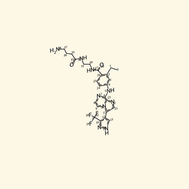 CCc1cc(Nc2nccn3c(-c4c[nH]nc4C(F)(F)F)cnc23)ccc1C(=O)NCCNC(=O)CCCN